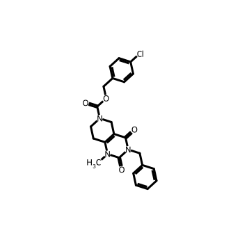 Cn1c2c(c(=O)n(Cc3ccccc3)c1=O)CN(C(=O)OCc1ccc(Cl)cc1)CC2